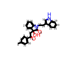 Cc1ccc(C(=O)CC2(O)C(=O)N(CCc3c[nH]c4ccccc34)c3ccccc32)cc1